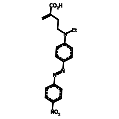 C=C(CCN(CC)c1ccc(/N=N/c2ccc([N+](=O)[O-])cc2)cc1)C(=O)O